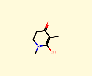 CC1=C(O)N(C)CCC1=O